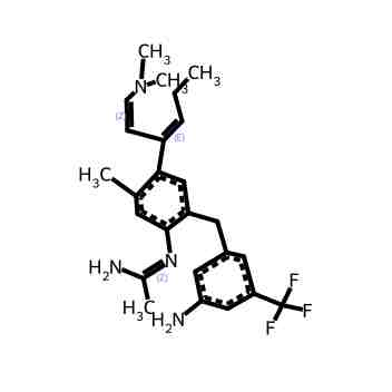 CC/C=C(\C=C/N(C)C)c1cc(Cc2cc(N)cc(C(F)(F)F)c2)c(/N=C(/C)N)cc1C